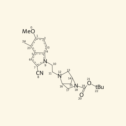 COc1ccc2c(cc(C#N)n2CCN2CC3CC2CN3C(=O)OC(C)(C)C)c1C